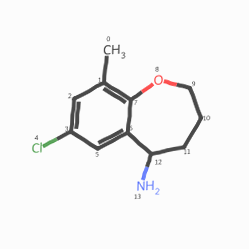 Cc1cc(Cl)cc2c1OCCCC2N